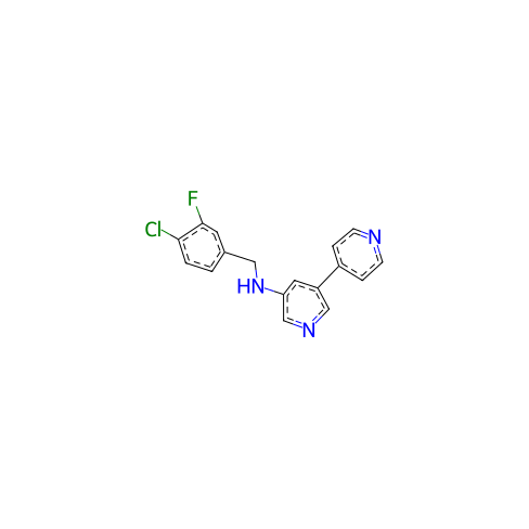 Fc1cc(CNc2cncc(-c3ccncc3)c2)ccc1Cl